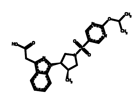 CC(C)Oc1ncc(S(=O)(=O)N2C[C@@H](C)[C@@H](n3nc(CC(=O)O)c4ccccc43)C2)cn1